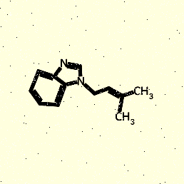 CC(C)=CCn1cnc2ccccc21